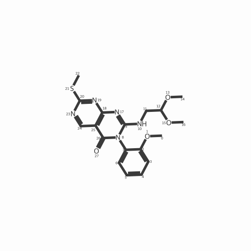 COc1ccccc1-n1c(NCC(OC)OC)nc2nc(SC)ncc2c1=O